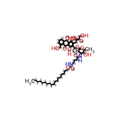 CCCCCCCC/C=C\CCCCCCCCOC(=O)NCCCC(=O)NC1C[C@H](O[C@@H](C)c2c(O)c3c(c(O)c2C[C@@H](O)C(=O)CO)C(=O)c2cccc(CO)c2C3=O)OC(C)C1O